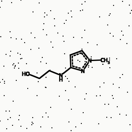 Cn1ccc(NCCO)n1